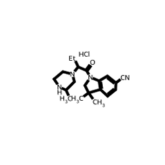 CCC(C(=O)N1CC(C)(C)c2ccc(C#N)cc21)N1CCNC(C)C1.Cl